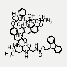 CC(C)C[C@H](NC(=O)CNC(=O)OCC1c2ccccc2-c2ccccc21)C(=O)N[C@@H](Cc1ccc(OC(C)(C)C)cc1)C(=O)N[C@@H](Cc1ccc(OC(C)(C)C)cc1)C(=O)N[C@H](Cc1ccccc1)C(=O)O